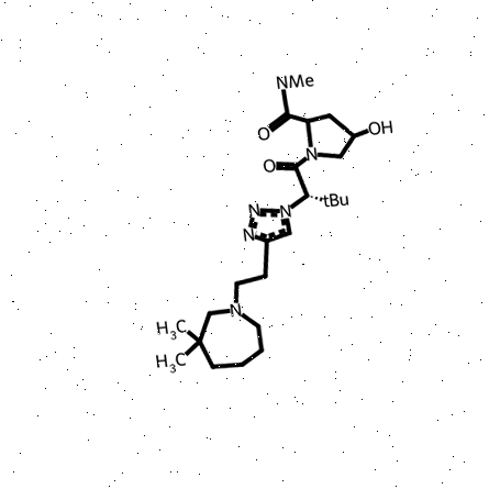 CNC(=O)C1CC(O)CN1C(=O)[C@@H](n1cc(CCN2CCCCC(C)(C)C2)nn1)C(C)(C)C